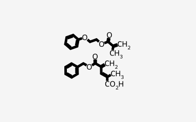 C=C(C)C(=O)OCCOc1ccccc1.C=C(C=C(C)C(=O)O)C(=O)OCc1ccccc1